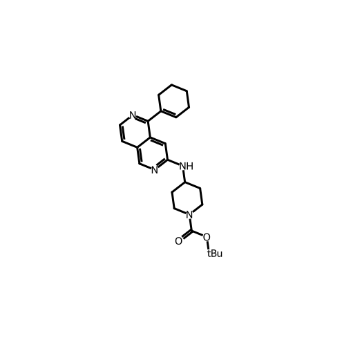 CC(C)(C)OC(=O)N1CCC(Nc2cc3c(C4=CCCCC4)nccc3cn2)CC1